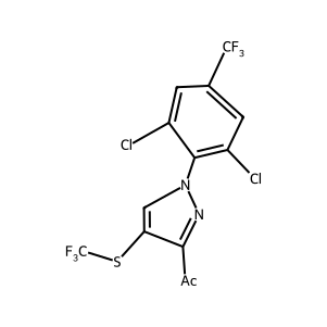 CC(=O)c1nn(-c2c(Cl)cc(C(F)(F)F)cc2Cl)cc1SC(F)(F)F